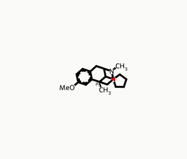 COc1ccc2c(c1)[C@@]1(C)CCN(C)C(C2)C1N1CCCC1